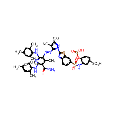 Cc1cc(C)c(Nc2nc(Nc3c(C)cc(C)cc3C)c(C(N)=O)c(C)c2N=Nc2c(C#N)c(C(C)(C)C)nn2-c2nc3ccc(S(=O)(=O)Nc4cc(S(=O)(=O)O)ccc4OS(=O)O)cc3s2)c(C)c1